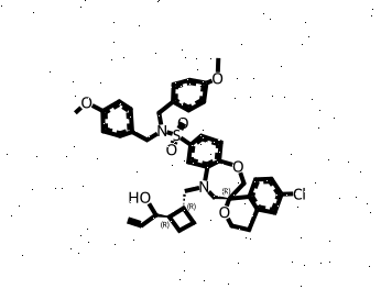 C=CC(O)[C@@H]1CC[C@H]1CN1C[C@]2(COc3ccc(S(=O)(=O)N(Cc4ccc(OC)cc4)Cc4ccc(OC)cc4)cc31)OCCc1cc(Cl)ccc12